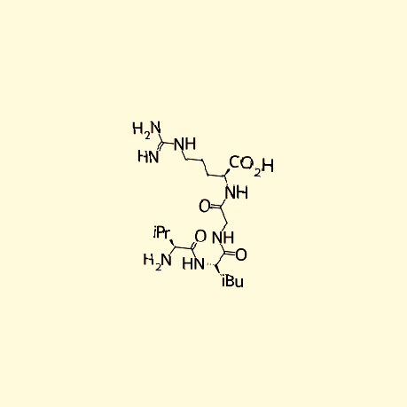 CC[C@H](C)[C@H](NC(=O)[C@@H](N)C(C)C)C(=O)NCC(=O)N[C@@H](CCCNC(=N)N)C(=O)O